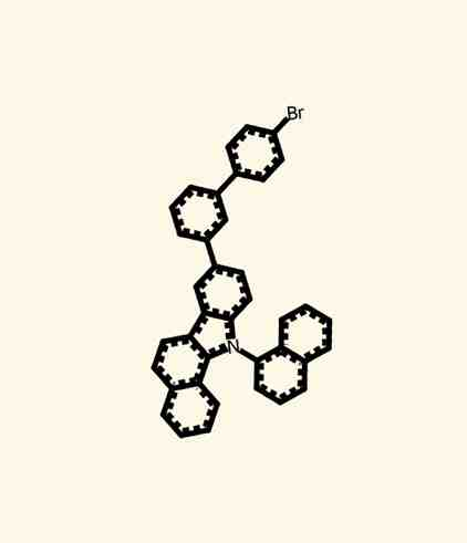 Brc1ccc(-c2cccc(-c3ccc4c(c3)c3ccc5ccccc5c3n4-c3cccc4ccccc34)c2)cc1